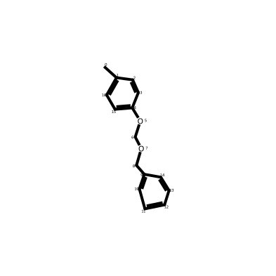 Cc1ccc(OCOCc2ccccc2)cc1